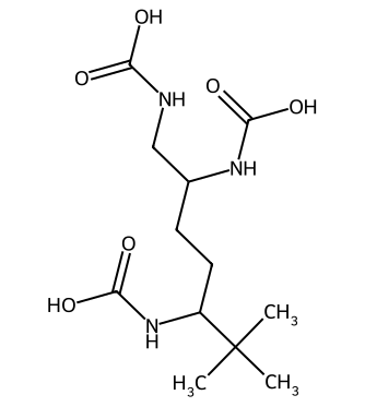 CC(C)(C)C(CCC(CNC(=O)O)NC(=O)O)NC(=O)O